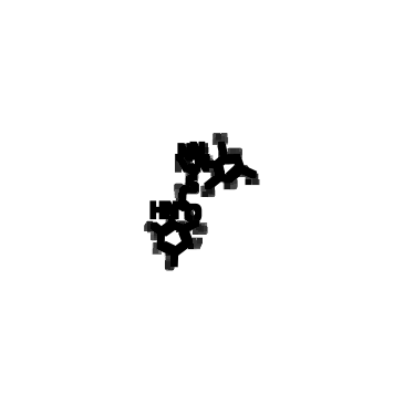 Cc1cc(C)c(NC(=O)CSc2nnnn2-c2c(C)cc(C)cc2C)c(C)c1